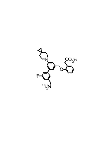 NCc1cc(F)cc(-c2cc(COc3ccccc3CC(=O)O)cc(N3CCC4(CC3)CC4)c2)c1